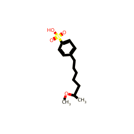 COC(C)CCCCCc1ccc(S(=O)(=O)O)cc1